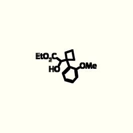 CCOC(=O)C(O)C1(c2ccccc2OC)CCC1